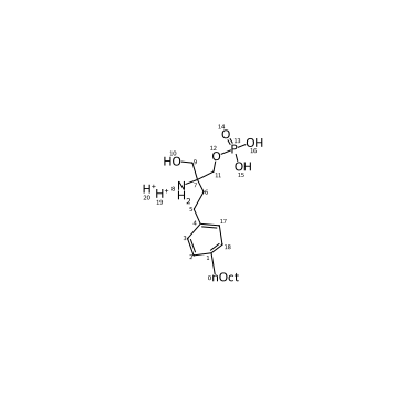 CCCCCCCCc1ccc(CCC(N)(CO)COP(=O)(O)O)cc1.[H+].[H+]